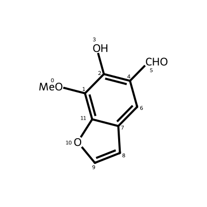 COc1c(O)c(C=O)cc2ccoc12